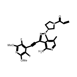 C=CC(=O)N1CC[C@H](n2nc(C#Cc3c(F)c(OC)nc(OC)c3F)c3c(N)ncc(C)c32)C1